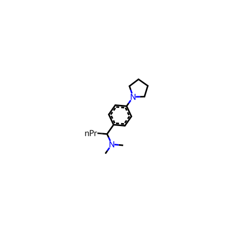 CCCC(c1ccc(N2CCCC2)cc1)N(C)C